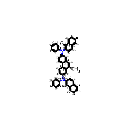 Cc1c(N(c2ccccc2)c2ccc3c(c2)cc(C)c2cc(N(c4ccccc4)c4ccc5ccccc5c4)ccc23)ccc2ccccc12